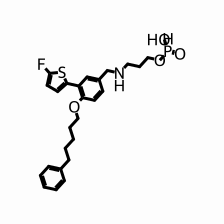 O=[PH](O)OCCCNCc1ccc(OCCCCCc2ccccc2)c(-c2ccc(F)s2)c1